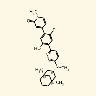 CN(c1ccc(-c2cc(F)c(-c3ccn(C)c(=O)c3)cc2O)nn1)[C@H]1C[C@]2(C)CCC[C@](C)(C1)C2